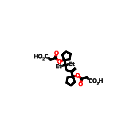 C=C(CC(CC)(CC)C1(OC(=O)CC(=O)O)CCCC1)C1(OC(=O)CC(=O)O)CCCC1